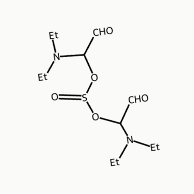 CCN(CC)C(C=O)OS(=O)OC(C=O)N(CC)CC